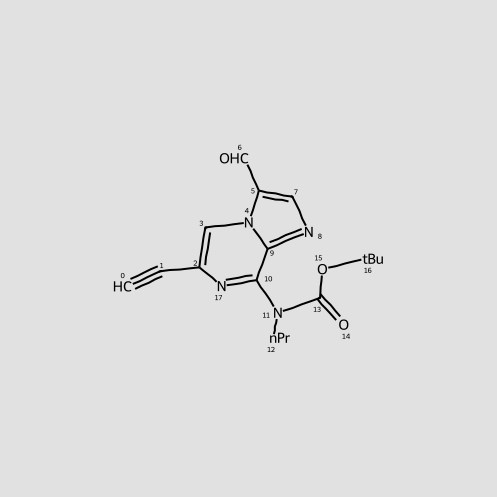 C#Cc1cn2c(C=O)cnc2c(N(CCC)C(=O)OC(C)(C)C)n1